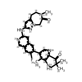 Cc1c(-c2cc3cc(Nc4cc5n(n4)CC(=O)N(C)CC5)ncc3cc2F)cnc2c1NCC(C)(C)C2=O